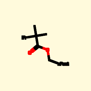 CCCCCCOC(=O)C(C)(C)C(C)C